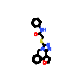 O=C(CSc1nnc(-c2ccoc2)n1Cc1ccccc1)Nc1ccccc1